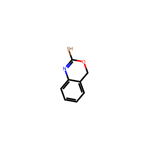 SC1=Nc2ccccc2CO1